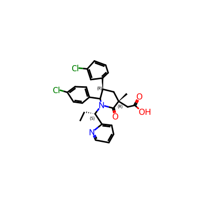 CC[C@@H](c1ccccn1)N1C(=O)[C@@](C)(CC(=O)O)C[C@H](c2cccc(Cl)c2)C1c1ccc(Cl)cc1